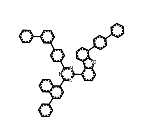 c1ccc(-c2ccc(-c3cccc4c3oc3cccc(-c5nc(-c6ccc(-c7cccc(-c8ccccc8)c7)cc6)nc(-c6ccc(-c7ccccc7)c7ccccc67)n5)c34)cc2)cc1